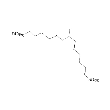 [CH2]CCCCCCCCCCCCCCCC([CH2])CCCCCCCCCCCCCCCC